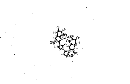 Cc1nccn1-c1cc2c(cc1[N+](=O)[O-])[nH]c(=O)c(=O)n2OP(C)(=O)On1c(=O)c(=O)[nH]c2cc([N+](=O)[O-])c(-n3ccnc3C)cc21